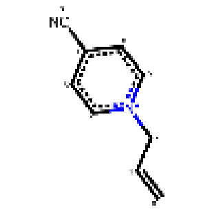 C=CC[n+]1ccc(C#N)cc1